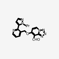 CC(C)n1nccc1-c1ncccc1COc1ccn2nnnc2c1C=O